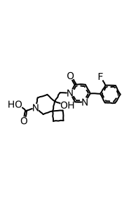 O=C(O)N1CCC(O)(Cn2cnc(-c3ccccc3F)cc2=O)C2(CCC2)C1